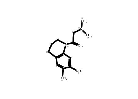 Cc1cc2c(cc1[N+](=O)[O-])N(C(=O)CN(C)C)CCC2